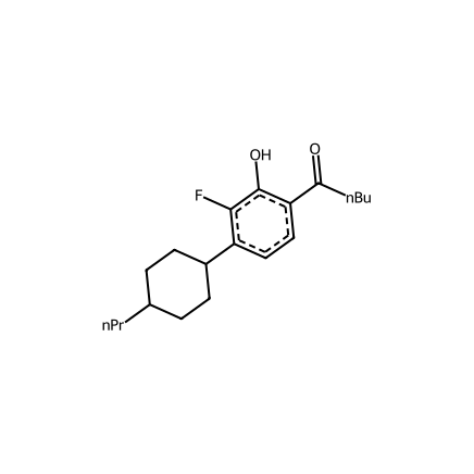 CCCCC(=O)c1ccc(C2CCC(CCC)CC2)c(F)c1O